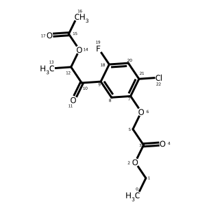 CCOC(=O)COc1cc(C(=O)C(C)OC(C)=O)c(F)cc1Cl